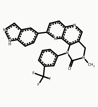 CN1Cc2cnc3ccc(-c4ccc5[nH]ncc5c4)nc3c2N(c2cccc(C(F)(F)F)c2)C1=O